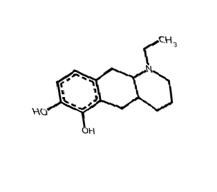 CCN1CCCC2Cc3c(ccc(O)c3O)CC21